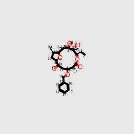 CC[C@H]1OC(=O)[C@H](C)[C@@H](OCc2ccccc2)CC(=O)[C@@]2(C)C[C@@H](C)[C@@H](CC(=O)[C@]1(C)O)O2